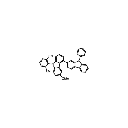 COc1ccc2c(c1)c1c(-c3ccc4c5ccccc5n(-c5ccccc5)c4c3)cccc1n2-c1c(C#N)cccc1C#N